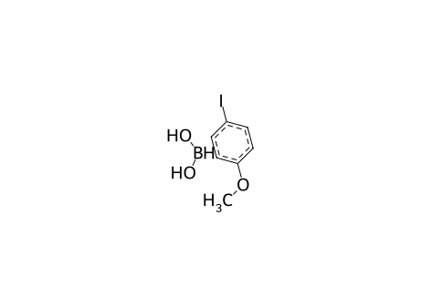 COc1ccc(I)cc1.OBO